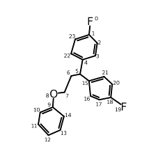 Fc1ccc(C(CCOc2ccccc2)c2ccc(F)cc2)cc1